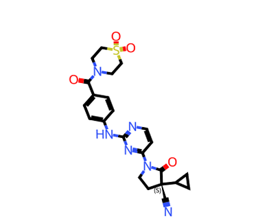 N#C[C@@]1(C2CC2)CCN(c2ccnc(Nc3ccc(C(=O)N4CCS(=O)(=O)CC4)cc3)n2)C1=O